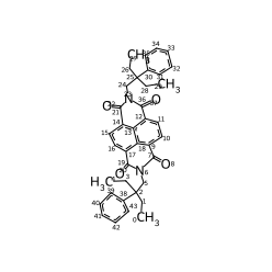 CCC(CC)(CN1C(=O)c2ccc3c4c(ccc(c24)C1=O)C(=O)N(CC(CC)(CC)c1ccccc1)C3=O)c1ccccc1